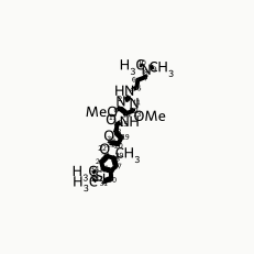 COc1nc(NCCCN(C)C)nc(OC)c1NC(=O)c1ccc(Oc2cc3c(cc2C)C=C[Si]3(C)C)o1